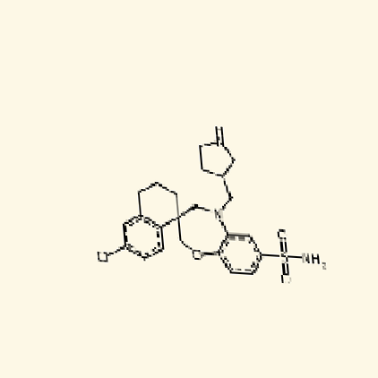 NS(=O)(=O)c1ccc2c(c1)N(CC1CCNC1)C[C@@]1(CCCc3cc(Cl)ccc31)CO2